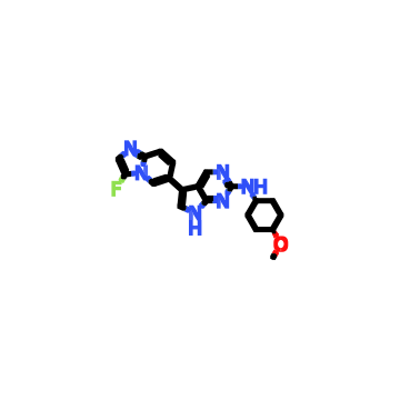 CO[C@H]1CC[C@@H](Nc2ncc3c(-c4ccc5ncc(F)n5c4)c[nH]c3n2)CC1